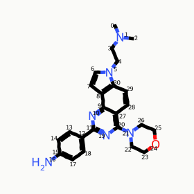 CN(C)CCn1ccc2c3nc(-c4ccc(N)cc4)nc(N4CCOCC4)c3ccc21